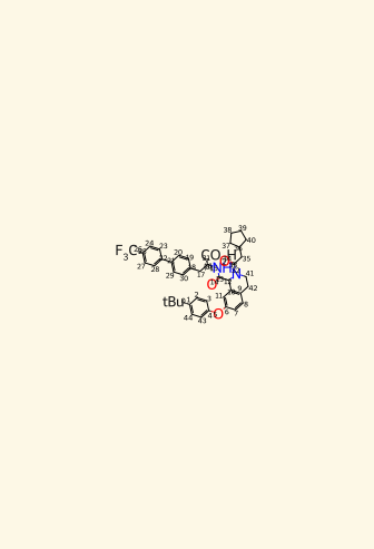 CC(C)(C)c1ccc(Oc2ccc3c(c2)C(C(=O)N[C@@H](Cc2ccc(-c4ccc(C(F)(F)F)cc4)cc2)C(=O)O)N(C(=O)CC2CCCC2)CC3)cc1